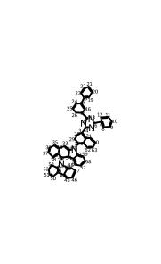 C1=CC2=C(c3nc(-c4ccccc4)nc(C4C=C(c5ccccc5)C=CC4)n3)CCC(N3C4=Cc5ccccc5C(n5c6c(c7ccccc75)C=CCC6)C4c4ccccc43)C2C=C1